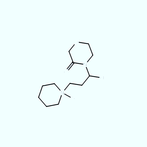 CC(CC[N+]1([O-])CCCCC1)N1CCOCC1=O